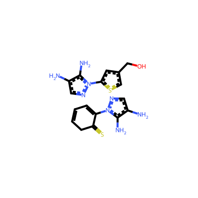 Nc1cnn(-c2cc(CO)cs2)c1N.Nc1cnn(C2=CC=CCC2=S)c1N